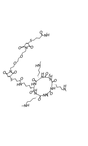 CNCCCC[C@@H]1NC(=O)[C@@H](C)NC(=O)[C@H](CCCCNC)NC(=O)[C@@H](CCCCNC(=O)CCSC2=CC(=O)N(CCOCCOCCN3C(=O)C=C(SCCCC(=O)NC)C3=O)C2=O)NC(=O)[C@H](CCCCNC)NC(=O)[C@@H](C)NC1=O